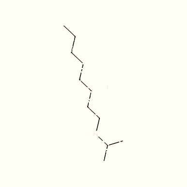 CCCCCCCCNC(C)C.Cl